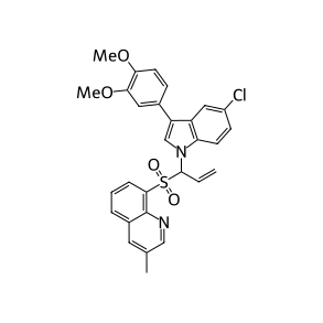 C=CC(n1cc(-c2ccc(OC)c(OC)c2)c2cc(Cl)ccc21)S(=O)(=O)c1cccc2cc(C)cnc12